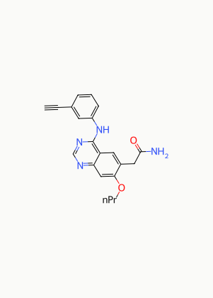 C#Cc1cccc(Nc2ncnc3cc(OCCC)c(CC(N)=O)cc23)c1